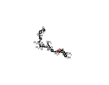 CCc1c2c(nc3ccc(O)cc13)-c1cc3c(c(=O)n1C2)COC(=O)C3(CC)OC(=O)OCCc1ccc(NC(=O)C(CCCCN)NC(=O)COCC(=O)NC(C)(C)CCOC(C)(C)CCn2cc(CNC(=O)C3CCC(CN4C(=O)CCC4=O)CC3)nn2)cc1